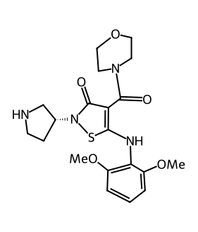 COc1cccc(OC)c1Nc1sn([C@@H]2CCNC2)c(=O)c1C(=O)N1CCOCC1